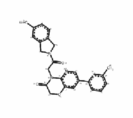 COc1ccc2c(c1)CN(C(=O)CN1C(=O)COc3cc(-c4cccc(C)n4)cnc31)C2